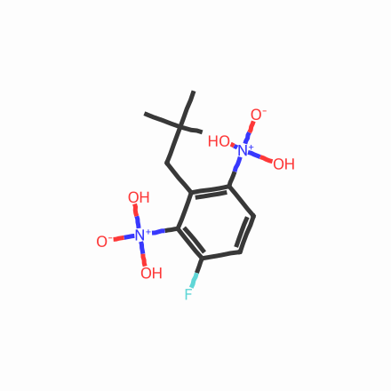 CC(C)(C)Cc1c([N+]([O-])(O)O)ccc(F)c1[N+]([O-])(O)O